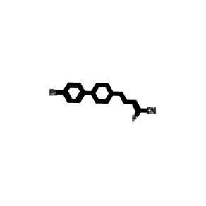 CCc1ccc(C2CCC(CCC=C(F)C#N)CC2)cc1